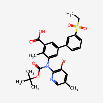 CCS(=O)(=O)c1cccc(-c2cc(C(=O)O)c(C)c(N(C(=O)OC(C)(C)C)c3ncc(C)cc3Br)c2)c1